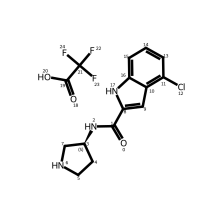 O=C(N[C@H]1CCNC1)c1cc2c(Cl)cccc2[nH]1.O=C(O)C(F)(F)F